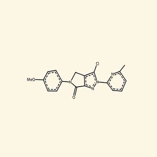 COc1ccc(N2Cc3c(nn(-c4cccc(C)n4)c3Cl)C2=O)cc1